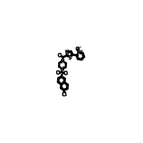 O=C(c1ncc(-c2cccc[n+]2[O-])s1)N1CCN(S(=O)(=O)c2ccc3cc(Cl)ccc3c2)CC1